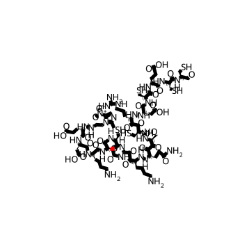 Cc1ncc([N+](=O)[O-])n1CCNN[C@@H](CCC(=O)O)C(=O)N[C@@H](CC(=O)O)C(=O)N[C@@H](CCCCN)C(=O)N[C@@H](CC(N)=O)C(=O)N[C@@H](CS)C(=O)NCC(=O)C(=O)[C@H](CCCCN)NN[C@@H](CCC(N)=O)C(=O)C(=O)[C@H](CO)NN[C@@H](CS)C(=O)C(=O)[C@H](CCCNC(=N)N)NN[C@@H](CC(=O)O)C(=O)N[C@@H](CS)C(=O)N[C@@H](CCC(=O)O)C(=O)N[C@@H](CS)C(=O)N[C@H](C=O)CS